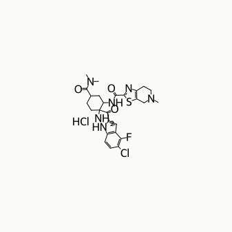 CN1CCc2nc(C(=O)NC3CC(C(=O)N(C)C)CCC3(N)C(=O)c3cc4c(F)c(Cl)ccc4[nH]3)sc2C1.Cl